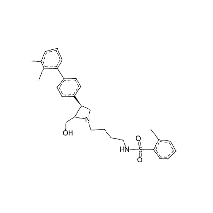 Cc1ccccc1S(=O)(=O)NCCCCN1C[C@H](c2ccc(-c3cccc(C)c3C)cc2)C1CO